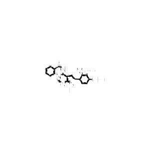 COc1cc(C=O)ccc1-c1cc2c(N[C@H](C)c3ccccc3)ncnc2[nH]1